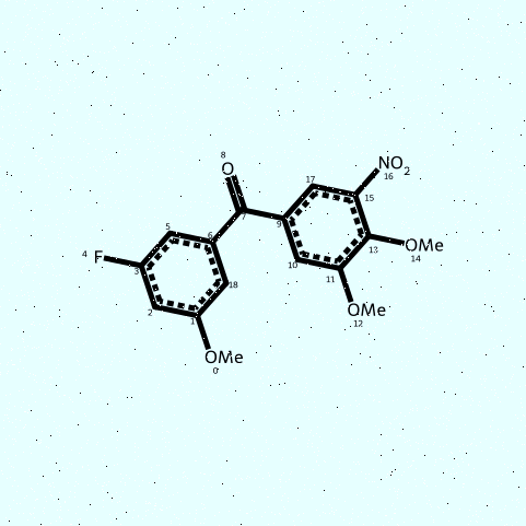 COc1cc(F)cc(C(=O)c2cc(OC)c(OC)c([N+](=O)[O-])c2)c1